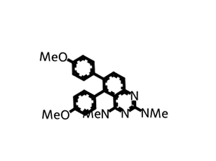 CNc1nc(NC)c2c(-c3ccc(OC)cc3)c(-c3ccc(OC)cc3)ccc2n1